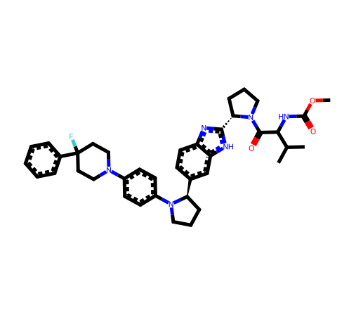 COC(=O)NC(C(=O)N1CCC[C@H]1c1nc2ccc([C@H]3CCCN3c3ccc(N4CCC(F)(c5ccccc5)CC4)cc3)cc2[nH]1)C(C)C